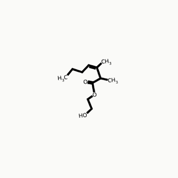 CCCC=C(C)C(C)C(=O)OCCO